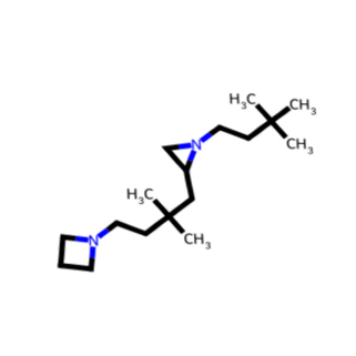 CC(C)(C)CCN1CC1CC(C)(C)CCN1CCC1